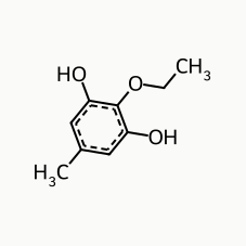 CCOc1c(O)cc(C)cc1O